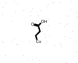 O=C(O)C[CH2][Cu]